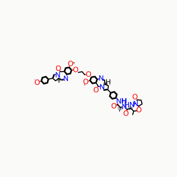 COc1ccc(C2=CN3C(=O)c4cc(OC)c(OCCCOc5cc6c(cc5OC)C(=O)N5C=C(c7ccc(NC(=O)[C@H](C)NC(=O)[C@@H](NN8C(=O)CCC8=O)C(C)C)cc7)C[C@H]5C=N6)cc4N=C[C@]3(C)C2)cc1